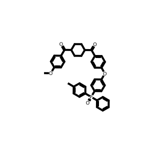 COc1ccc(C(=O)C2CCC(C(=O)c3ccc(Oc4ccc(P(=O)(c5ccccc5)c5ccc(C)cc5)cc4)cc3)CC2)cc1